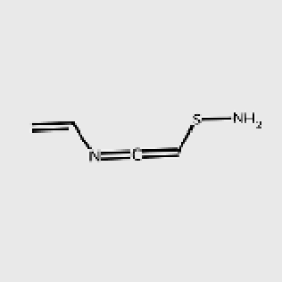 C=CN=C=CSN